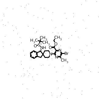 CCOC(=O)c1nc(Br)c(C)nc1N1CCC2(CC1)Cc1ccccc1[C@H]2N[S+]([O-])C(C)(C)C